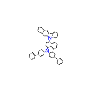 c1ccc(-c2ccc(N(c3ccc(-c4ccccc4)cc3)c3ccc(-n4c5ccccc5c5cc6ccccc6cc54)c4ccccc34)cc2)cc1